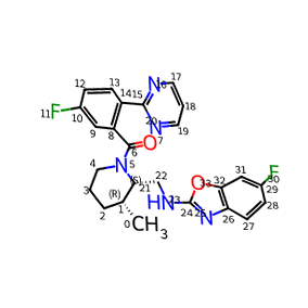 C[C@@H]1CCCN(C(=O)c2cc(F)ccc2-c2ncccn2)[C@@H]1CNc1nc2ccc(F)cc2o1